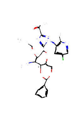 COCOC1C(N)[C@H]2OC(c3ccccc3)OCC2O[C@H]1c1nc(C(=O)OC)nn1-c1cc(Cl)cnc1C(F)(F)F